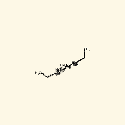 CCCCCCCC/C=C\CCCCCCCC(=O)NC(S)C(=O)NCCNC(=O)CCN(CCN)CCC(=O)NCCNC(=O)C(S)NC(=O)CCCCCCC/C=C\CCCCCCCC